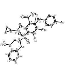 NC(=O)c1c(Nc2ccc(I)cc2)c(F)c(F)c(S(=O)(=O)N(CCO)Cc2cccnc2)c1OCC1CC1